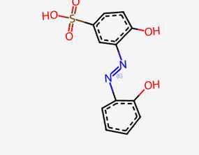 O=S(=O)(O)c1ccc(O)c(/N=N/c2ccccc2O)c1